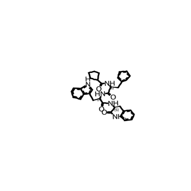 NC(=O)[C@H](Cc1ccccc1)NC(=O)[C@@H](Cc1c[nH]c2ccccc12)NC(=O)[C@H](Cc1ccccc1)NC(=O)C1CCCC1